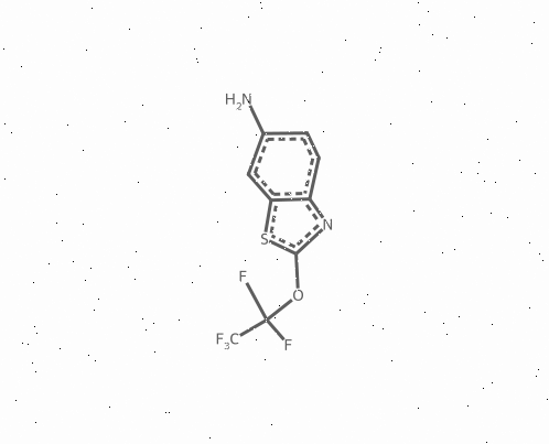 Nc1ccc2nc(OC(F)(F)C(F)(F)F)sc2c1